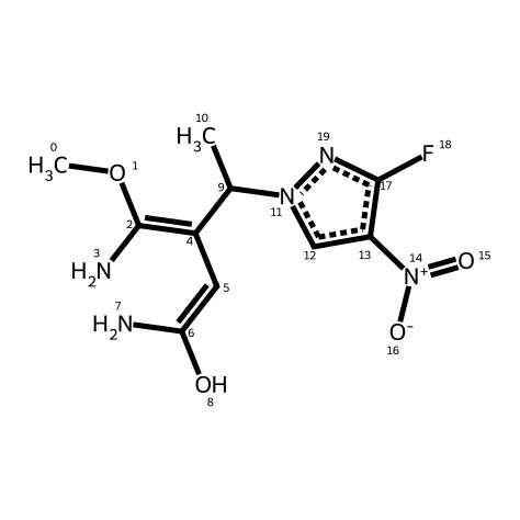 CO/C(N)=C(/C=C(\N)O)C(C)n1cc([N+](=O)[O-])c(F)n1